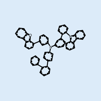 c1ccc(-c2ccccc2-c2ccc(N(c3cccc(-c4ccccc4-n4c5ccccc5c5ccccc54)c3)c3cccc(-c4cccc5c4oc4ccccc45)c3)cc2)cc1